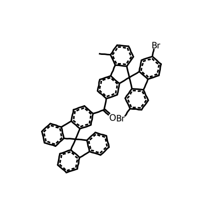 Cc1cccc2c1-c1ccc(C(=O)c3ccc4c(c3)C3(c5ccccc5-c5ccccc53)c3ccccc3-4)cc1C21c2cc(Br)ccc2-c2ccc(Br)cc21